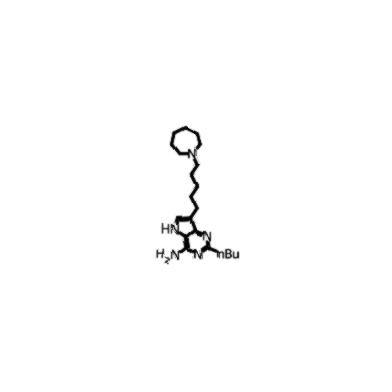 CCCCc1nc(N)c2[nH]cc(CCCCCN3CCCCCC3)c2n1